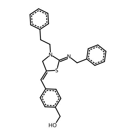 OCc1ccc(/C=C2/CN(CCc3ccccc3)/C(=N/Cc3ccccc3)S2)cc1